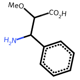 COC(C(=O)O)C(N)c1ccccc1